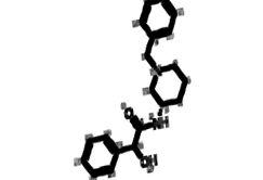 O=C(N[C@H]1CCCN(Cc2ccccc2)C1)C(O)c1ccccc1